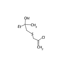 C=C(Cl)CSCC(C)(O)CC